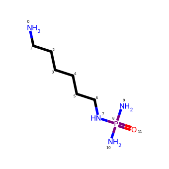 NCCCCCCNP(N)(N)=O